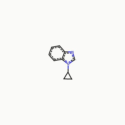 [c]1nc2ccccc2n1C1CC1